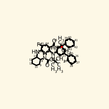 CC(C)(C)OC(=O)NC1CCCCC1Nc1nc(Nc2cncc(-c3ccccc3)c2)c(C(=O)NC(C)(C)c2ccccc2)cc1F